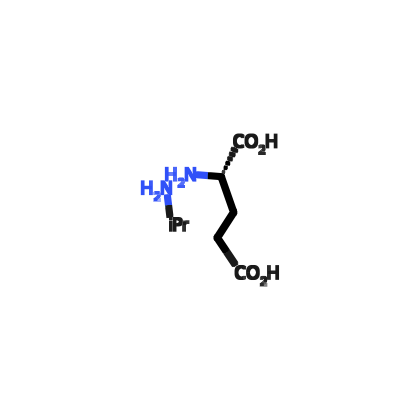 CC(C)N.N[C@@H](CCC(=O)O)C(=O)O